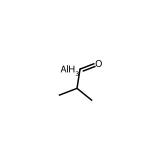 CC(C)C=O.[AlH3]